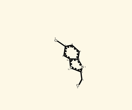 ClCc1nc2ccc(Cl)cc2s1